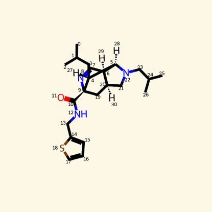 CC(C)C[C@@H]1[C@@H]2[C@@H]3C=N[C@@]1(C(=O)NCc1cccs1)C[C@@H]3CN2CC(C)C